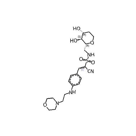 N#C/C(=C\c1ccc(NCCN2CCOCC2)cc1)S(=O)(=O)NC[C@H]1OCC[C@@H](O)[C@@H]1O